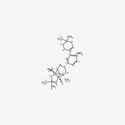 CC1(C)CC=C(c2nc([C@H]3C[C@@]4(C)O[C@@](C)(C3)[C@@H]3OC(C)(C)C[C@@H]34)ccc2N)CC1